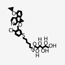 CN(CCCCCSc1ccc(Cl)c(COC2(c3cnccc3-c3ccccc3OC3CC3)CC2)c1)C(=O)C(O)C(O)C(O)C(O)CO